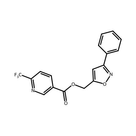 O=C(OCc1cc(-c2ccccc2)no1)c1ccc(C(F)(F)F)nc1